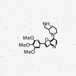 COc1cc(-c2cc3nccc(N4CCCC(CN)C4)c3o2)cc(OC)c1OC